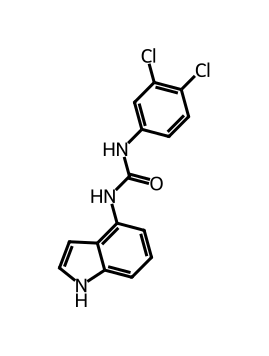 O=C(Nc1ccc(Cl)c(Cl)c1)Nc1cccc2[nH]ccc12